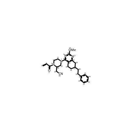 C=CC(=O)N1CCN(c2nc(OC)nc3c2CCC(CCc2ccccc2)C3)CC1CC#N